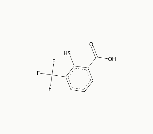 O=C(O)c1cccc(C(F)(F)F)c1S